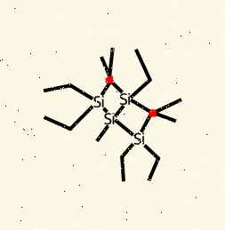 CC[Si](CC)(CC)[Si](C)([Si](CC)(CC)CC)[Si](CC)(CC)CC